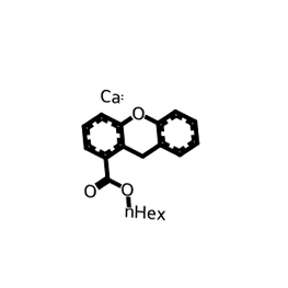 CCCCCCOC(=O)c1cccc2c1Cc1ccccc1O2.[Ca]